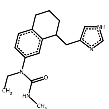 CCN(C(=O)NC)c1ccc2c(c1)C(Cc1c[nH]cn1)CCC2